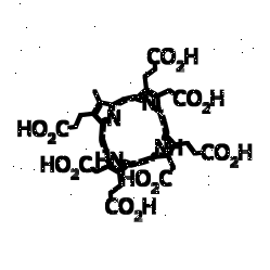 CC1=C(CCC(=O)O)c2cc3[nH]c(cc4[nH]c(cc5nc(cc1n2)C(CCC(=O)O)=C5CC(=O)O)c(CCC(=O)O)c4CC(=O)O)c(CCC(=O)O)c3CC(=O)O